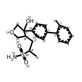 Cc1ccccc1-c1ccc(C2(O)COCC2CC(C)S(N)(=O)=O)cc1